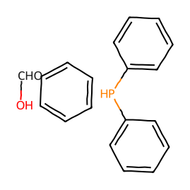 O=CO.c1ccc(Pc2ccccc2)cc1.c1ccccc1